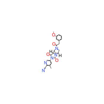 COc1cccc(CC(=O)N2C[C@H]3CC2[C@H]2C(=O)N(c4cnc(C#N)c(C)c4)C(=O)N32)c1